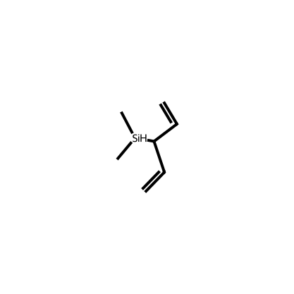 C=CC(C=C)[SiH](C)C